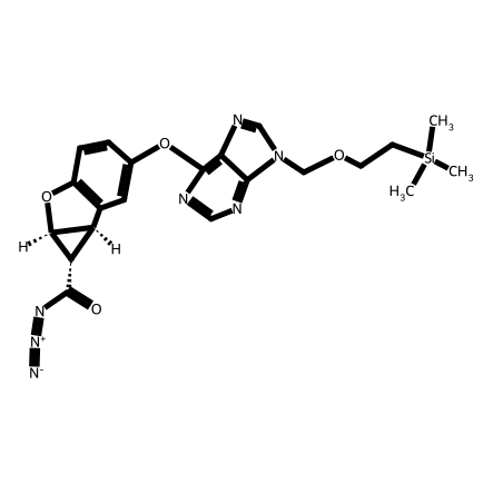 C[Si](C)(C)CCOCn1cnc2c(Oc3ccc4c(c3)[C@@H]3[C@H](O4)[C@H]3C(=O)N=[N+]=[N-])ncnc21